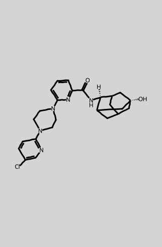 O=C(N[C@H]1C2CC3CC1C[C@](O)(C3)C2)c1cccc(N2CCN(c3ccc(Cl)cn3)CC2)n1